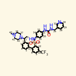 CC(c1cccc(-c2ccc(C(F)(F)F)cc2S(=O)(=O)Nc2ccc(NC(=O)NCc3cccnc3)cc2)c1)N1CCN(C)CC1